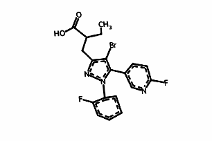 CCC(Cc1nn(-c2ccccc2F)c(-c2ccc(F)nc2)c1Br)C(=O)O